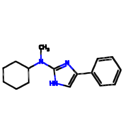 CN(c1nc(-c2ccccc2)c[nH]1)C1CCCCC1